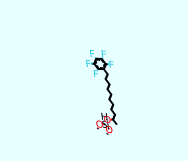 CO[SiH](OC)OC(C)CCCCCCCCCc1c(F)c(F)c(F)c(F)c1F